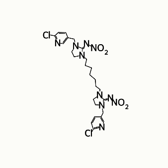 O=[N+]([O-])N=C1N(CCCCCCCN2CCN(Cc3ccc(Cl)nc3)C2=N[N+](=O)[O-])CCN1Cc1ccc(Cl)nc1